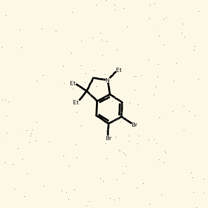 CCN1CC(CC)(CC)c2cc(Br)c(Br)cc21